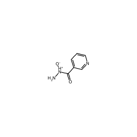 N[NH+]([O-])C(=O)c1cccnc1